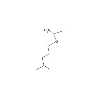 CC(C)CCCOC(C)N